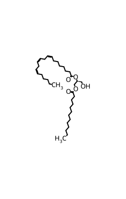 CCCCC/C=C\C/C=C\C/C=C\CCCCCCC(=O)O[C@@H](CO)COC(=O)CCCCCCCCCCCC